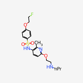 CCCNCCOc1ccc(NS(=O)(=O)c2ccc(OCCF)cc2)c(C)n1